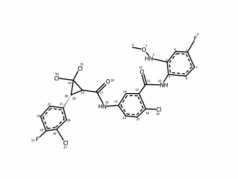 CONc1cc(F)ccc1NC(=O)c1cc(NC(=O)C2[C@H](c3ccc(F)c(Cl)c3)C2(Cl)Cl)ccc1Cl